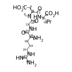 CC(C)[C@H](NC(=O)[C@H](CC(=O)O)N(C)C(=O)CNC(=O)[C@@H](N)CCCNC(=N)N)C(=O)O